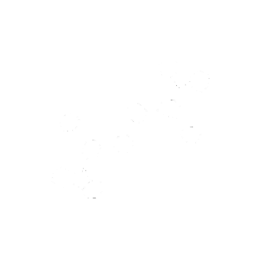 Cc1cccc(-c2cc(-c3cc(C)cc(-c4cc(C)cc(-c5cc(-c6cccc(C)c6)cc(-n6c7ccccc7c7ccccc76)c5)c4)c3)cc(-n3c4ccccc4c4ccccc43)c2)c1